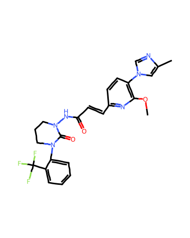 COc1nc(C=CC(=O)NN2CCCN(c3ccccc3C(F)(F)F)C2=O)ccc1-n1cnc(C)c1